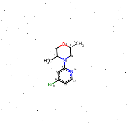 CC1CO[C@H](C)CN1c1cc(Br)ccn1